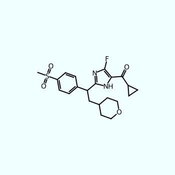 CS(=O)(=O)c1ccc(C(CC2CCOCC2)c2nc(F)c(C(=O)C3CC3)[nH]2)cc1